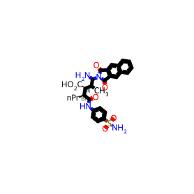 CCC[C@H](C(=O)Nc1ccc(S(N)(=O)=O)cc1)[C@H](C(=O)O)C(C)C(N)N1C(=O)c2cc3ccccc3cc2C1=O